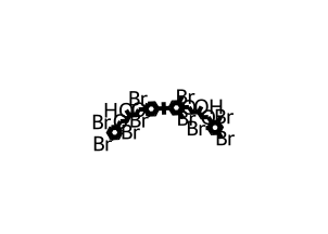 CC(C)(c1cc(Br)c(OCC(O)COc2c(Br)cc(Br)cc2Br)c(Br)c1)c1cc(Br)c(OCC(O)COc2c(Br)cc(Br)cc2Br)c(Br)c1